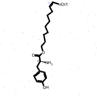 CCCCCCCC/C=C\CCCCCCCCOC(=O)[C@@H](N)Cc1ccc(O)cc1